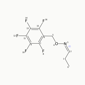 CC/[C]=N\OCc1c(F)c(F)c(F)c(F)c1F